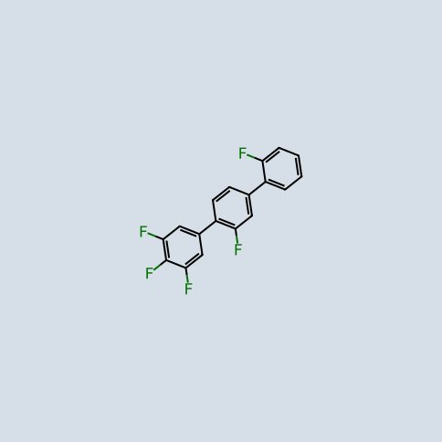 Fc1ccccc1-c1ccc(-c2cc(F)c(F)c(F)c2)c(F)c1